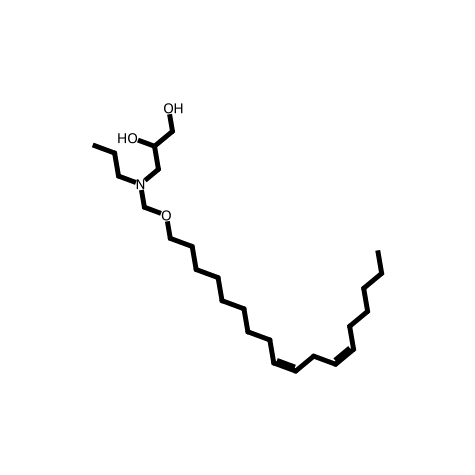 CCCCC/C=C\C/C=C\CCCCCCCCOCN(CCC)CC(O)CO